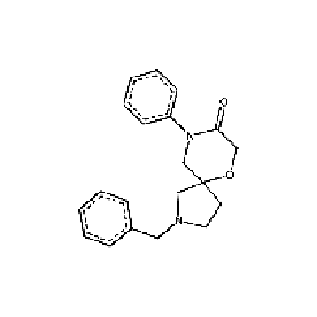 O=C1COC2(CCN(Cc3ccccc3)C2)CN1c1ccccc1